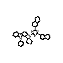 C1=CC2c3c(ccc4c5ccccc5n(-c5ccccc5)c34)N(c3nc(-c4ccc5ccccc5c4)nc(-c4ccc5ccccc5c4)n3)C2C=C1